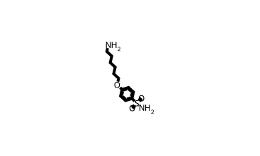 NCCCCCCOc1ccc(S(N)(=O)=O)cc1